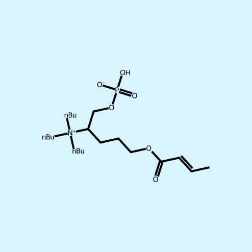 CC=CC(=O)OCCCC(COP(=O)([O-])O)[N+](CCCC)(CCCC)CCCC